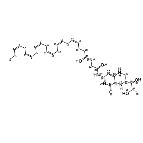 CC/C=C\C/C=C\C/C=C\C/C=C\C/C=C\C/C=C\CCC(=O)NCC(=O)NC1=NC(=O)C2N[C@@H]([C@@H](O)[C@H](C)O)CNC2=N1